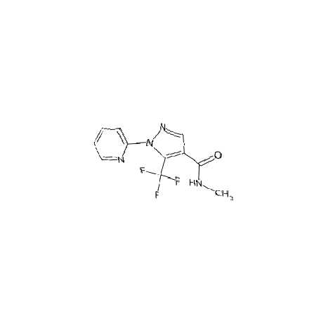 CNC(=O)c1cnn(-c2ccccn2)c1C(F)(F)F